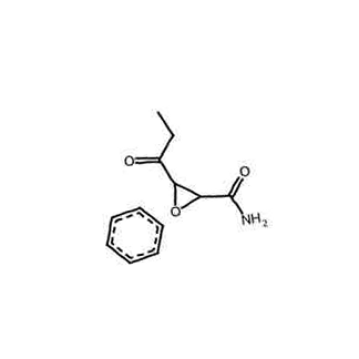 CCC(=O)C1OC1C(N)=O.c1ccccc1